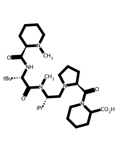 CC(C)[C@@H](CN1CCC[C@H]1C(=O)N1CCCCC1C(=O)O)N(C)C(=O)[C@@H](NC(=O)[C@H]1CCCCN1C)C(C)(C)C